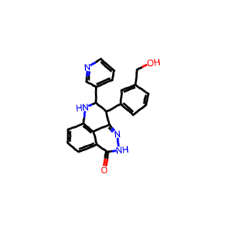 O=c1[nH]nc2c3c(cccc13)NC(c1cccnc1)C2c1cccc(CO)c1